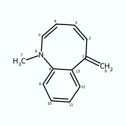 C=C1/C=C\C=C/N(C)c2ccccc21